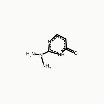 NN(N)c1nccc(=O)[nH]1